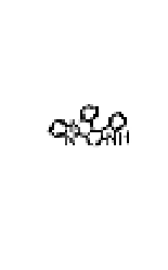 c1ccc2c(c1)nc1c3ccc4[nH]c5ccccc5c4c3c3ccccc3n21